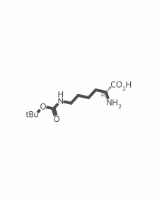 CC(C)(C)OC(=O)NCCCC[C@@H](N)C(=O)O